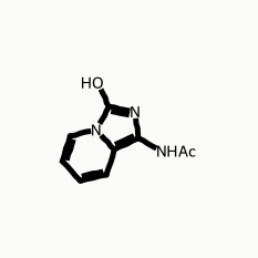 CC(=O)Nc1nc(O)n2ccccc12